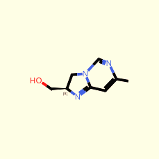 CC1=CC2=N[C@@H](CO)CN2C=N1